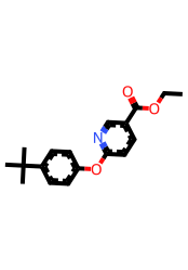 CCOC(=O)c1ccc(Oc2ccc(C(C)(C)C)cc2)nc1